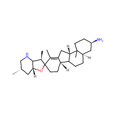 CC1=C2C[C@H]3C(CC[C@@H]4C[C@H](N)CCC43C)[C@@H]2CCC12O[C@@H]1C[C@H](C)CNC1[C@H]2C